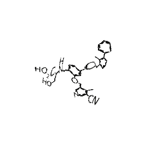 Cc1c(C#N)cncc1COc1cc(OCc2cccc(-c3ccccc3)c2C)ccc1CN[C@H](CO)C(=O)O